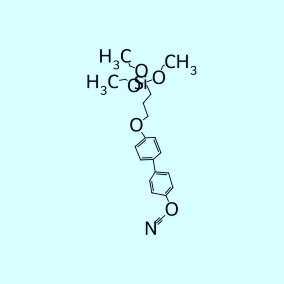 CCO[Si](CCCOc1ccc(-c2ccc(OC#N)cc2)cc1)(OCC)OCC